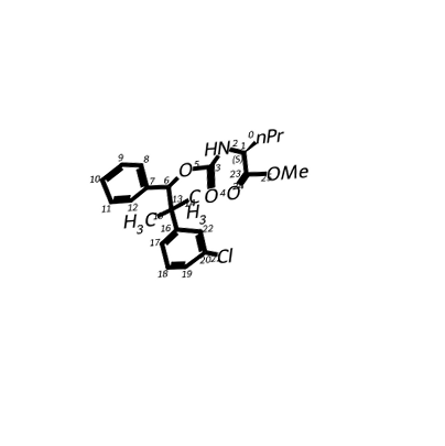 CCC[C@H](NC(=O)OC(c1ccccc1)C(C)(C)c1cccc(Cl)c1)C(=O)OC